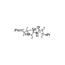 CCCC(C)C(C)C(C)(C)BC(C)C(S)NC(=O)C(C)C(C)C(C)C